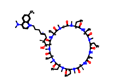 CC[C@@H]1NC(=O)[C@H]([C@H](O)[C@H](C)C/C=C/CCC[n+]2ccc(N(C)C)c3ccc(C(F)(F)F)cc32)N(C)C(=O)[C@H](C(C)C)N(C)C(=O)[C@H](CC(C)C)N(C)C(=O)[C@H](CC(C)C)N(C)C(=O)[C@@H](C)NC(=O)[C@H](C)NC(=O)[C@H](CC(C)C)N(C)C(=O)[C@H](C(C)C)NC(=O)[C@H](CC(C)C)N(C)C(=O)CN(C)C1=O